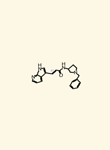 O=C(/C=C/c1c[nH]c2ncccc12)NC1CCN(Cc2ccccc2)C1